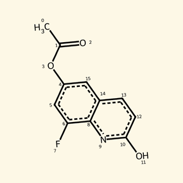 CC(=O)Oc1cc(F)c2nc(O)ccc2c1